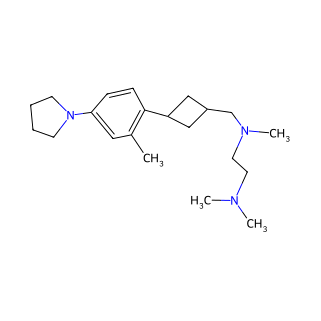 Cc1cc(N2CCCC2)ccc1C1CC(CN(C)CCN(C)C)C1